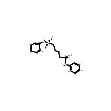 O=C(CCCCS(=O)(=O)Oc1ccccc1)Oc1ccccc1